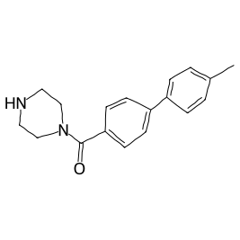 Cc1ccc(-c2ccc(C(=O)N3CCNCC3)cc2)cc1